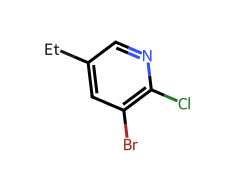 [CH2]Cc1cnc(Cl)c(Br)c1